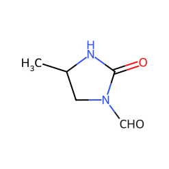 CC1CN(C=O)C(=O)N1